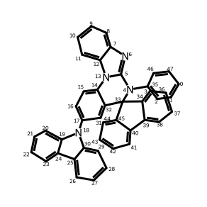 c1ccc(N2c3nc4ccccc4n3-c3ccc(-n4c5ccccc5c5ccccc54)cc3C23c2ccccc2-c2ccccc23)cc1